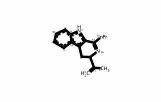 C=C(C)C1Cc2c([nH]c3ccccc23)C(CCC)=N1